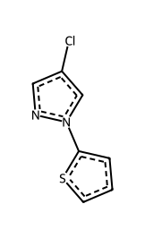 Clc1cnn(-c2cccs2)c1